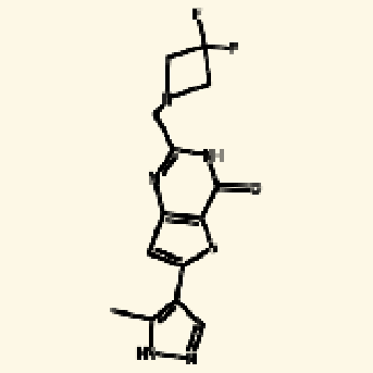 Cc1[nH]ncc1-c1cc2nc(CN3CC(F)(F)C3)[nH]c(=O)c2s1